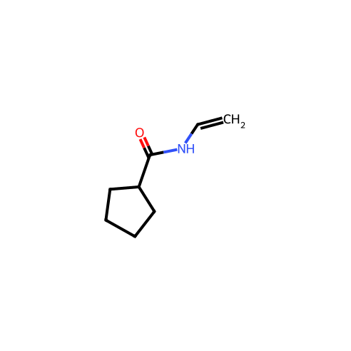 C=CNC(=O)C1CCCC1